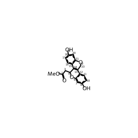 COC(=O)CC1Oc2cc(O)ccc2C2=C1c1ccc(O)cc1OC2